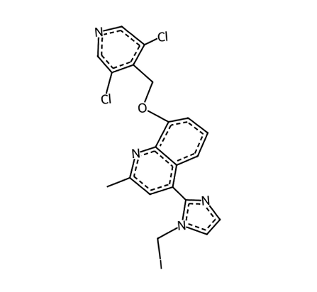 Cc1cc(-c2nccn2CI)c2cccc(OCc3c(Cl)cncc3Cl)c2n1